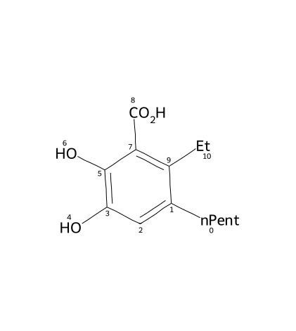 CCCCCc1cc(O)c(O)c(C(=O)O)c1CC